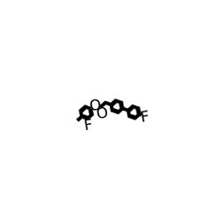 Cc1ccc(OC(=O)Cc2ccc(-c3ccc(F)cc3)cc2)cc1F